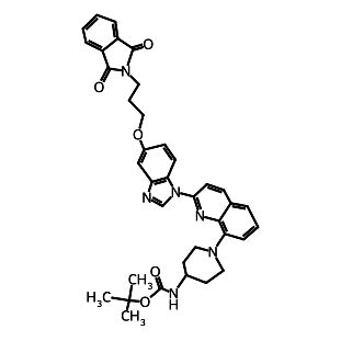 CC(C)(C)OC(=O)NC1CCN(c2cccc3ccc(-n4cnc5cc(OCCCN6C(=O)c7ccccc7C6=O)ccc54)nc23)CC1